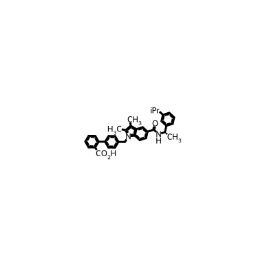 Cc1c(C)n(Cc2ccc(-c3ccccc3C(=O)O)cc2)c2ccc(C(=O)N[C@H](C)c3cccc(C(C)C)c3)cc12